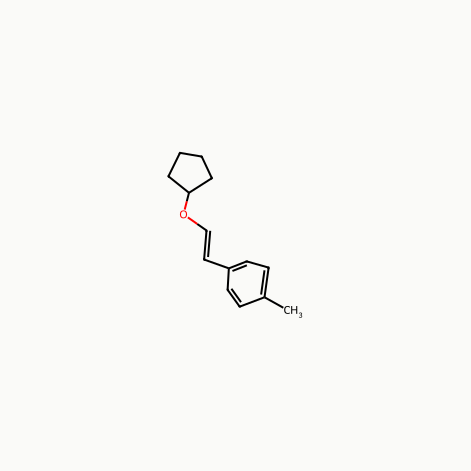 Cc1ccc(C=COC2CCCC2)cc1